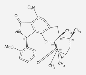 COc1ccccc1[C@H]1NC(=O)c2c([N+](=O)[O-])cc3c(c21)O[C@@]12CCC(=O)C(C)(C)[C@@H]1CC[C@H](C)[C@@]2(C)C3